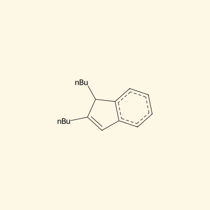 CCCCC1=Cc2ccccc2C1CCCC